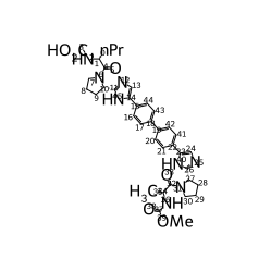 CCC[C@H](NC(=O)O)C(=O)N1CCC[C@H]1c1ncc(-c2ccc(-c3ccc(-c4cnc([C@@H]5CCCN5C(=O)[C@H](C)NC(=O)OC)[nH]4)cc3)cc2)[nH]1